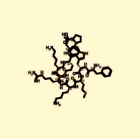 CSCC[C@H](NC(=O)[C@H](Cc1c[nH]c2ccccc12)NC(=O)[C@@H](N)Cc1ccccc1)C(=O)N[C@@H](CCCCN)C(=O)N[C@@H](CCCNC(=N)N)C(=O)N[C@@H](CCCCN)C(=O)N[C@@H](CCCNC(=N)N)C(=O)N[C@@H](CC(C)C)C(=O)N1CCC[C@H]1C(=O)O